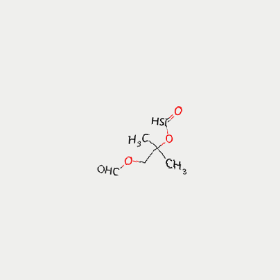 CC(C)(COC=O)O[SiH]=O